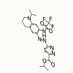 CC(C)OC(=O)c1nnc(/N=N/c2cc3c(cc2NS(=O)(=O)C(F)(F)F)N(C(C)C)CCC3)s1